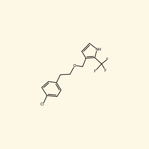 FC(F)(F)c1[nH]ccc1COCCc1ccc(Cl)cc1